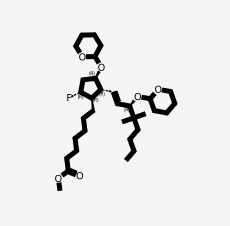 CCCCC(C)(C)[C@@H](C=C[C@@H]1[C@@H](CCCCCCC(=O)OC)[C@H](F)C[C@H]1OC1CCCCO1)OC1CCCCO1